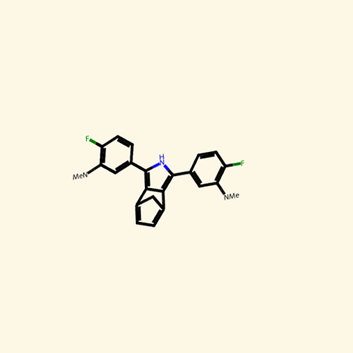 CNc1cc(-c2[nH]c(-c3ccc(F)c(NC)c3)c3c2C2=CC=C3C2)ccc1F